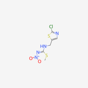 CS/C(=N\[N+](=O)[O-])NCc1cnc(Cl)s1